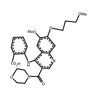 COCCCOc1cc2ncc(C(=O)N3CCOCC3)c(Nc3ccccc3C(=O)O)c2cc1OC